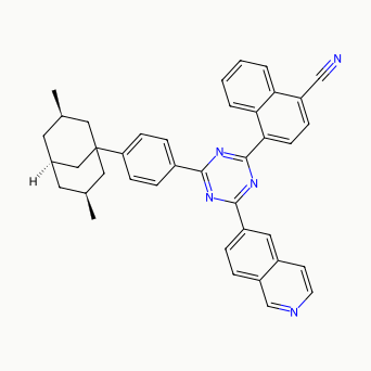 C[C@@H]1C[C@@H]2C[C@H](C)CC(c3ccc(-c4nc(-c5ccc6cnccc6c5)nc(-c5ccc(C#N)c6ccccc56)n4)cc3)(C1)C2